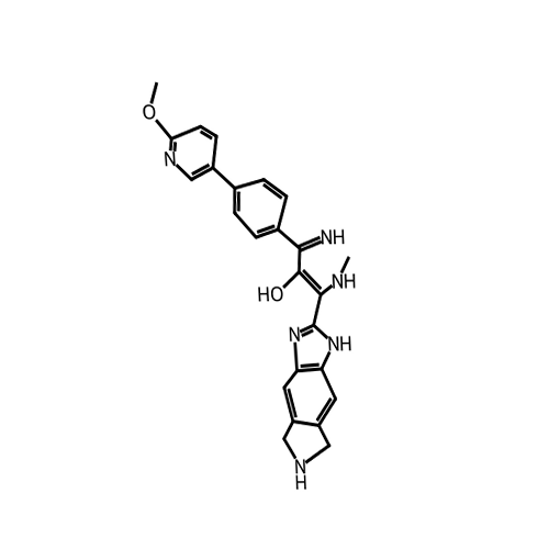 CN/C(=C(/O)C(=N)c1ccc(-c2ccc(OC)nc2)cc1)c1nc2cc3c(cc2[nH]1)CNC3